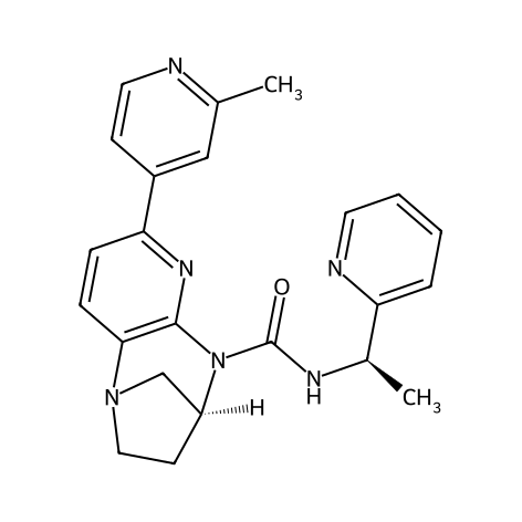 Cc1cc(-c2ccc3c(n2)N(C(=O)N[C@H](C)c2ccccn2)[C@H]2CCN3C2)ccn1